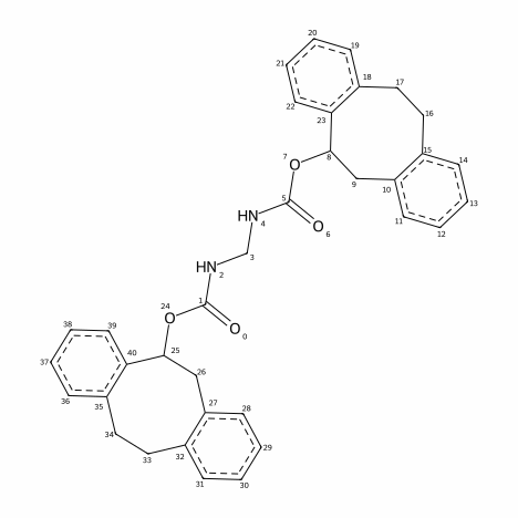 O=C(NCNC(=O)OC1Cc2ccccc2CCc2ccccc21)OC1Cc2ccccc2CCc2ccccc21